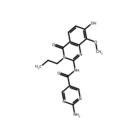 CCCn1c(NC(=O)c2cnc(N)nc2)nc2c(OC)c(O)ccc2c1=O